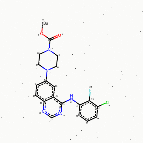 CC(C)(C)OC(=O)N1CCN(c2ccc3ncnc(Nc4cccc(Cl)c4F)c3c2)CC1